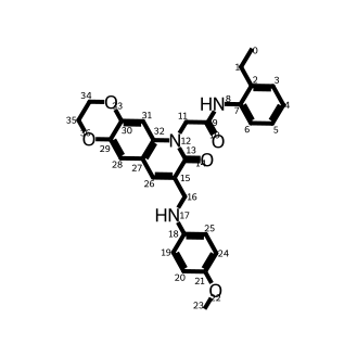 CCc1ccccc1NC(=O)Cn1c(=O)c(CNc2ccc(OC)cc2)cc2cc3c(cc21)OCCO3